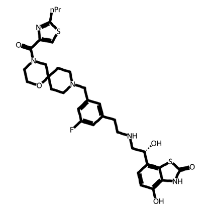 CCCc1nc(C(=O)N2CCOC3(CCN(Cc4cc(F)cc(CCNC[C@H](O)c5ccc(O)c6[nH]c(=O)sc56)c4)CC3)C2)cs1